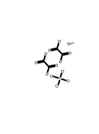 O=C([O-])C(=O)[O-].O=C([O-])C(=O)[O-].[Cl][Ti]([Cl])([Cl])[Cl].[Sn+4]